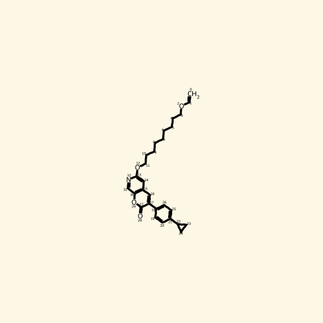 C=COCCCCCCCCCOc1cc2cc(-c3ccc(C4CC4)cc3)c(=O)oc2cn1